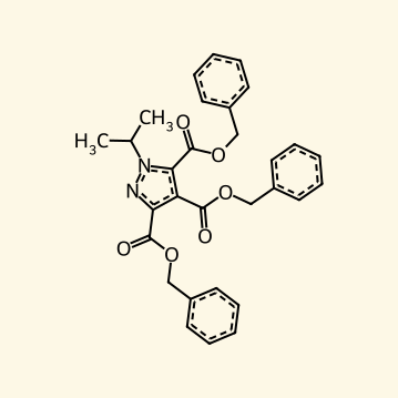 CC(C)n1nc(C(=O)OCc2ccccc2)c(C(=O)OCc2ccccc2)c1C(=O)OCc1ccccc1